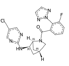 O=C(c1cccc(F)c1-n1nccn1)N1C[C@@H]2C[C@@H](Nc3ncc(Cl)cn3)[C@@H]1C2